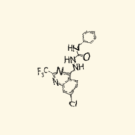 O=C(NNc1nc(C(F)(F)F)nc2cc(Cl)ccc12)Nc1ccccc1